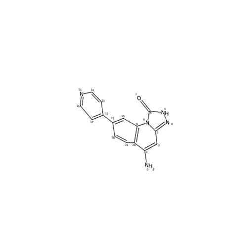 Nc1cc2n[nH]c(=O)n2c2cc(-c3ccncc3)ccc12